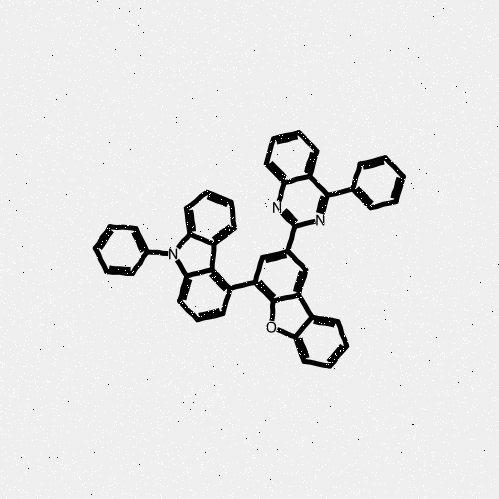 c1ccc(-c2nc(-c3cc(-c4cccc5c4c4ccccc4n5-c4ccccc4)c4oc5ccccc5c4c3)nc3ccccc23)cc1